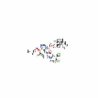 COc1c(F)cc(C(=O)Nc2ccc(F)c(Cl)c2)c2c1ncn2COCC[Si](C)(C)C